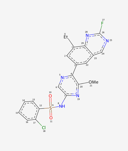 CCc1cc(-c2ncc(NS(=O)(=O)c3ccccc3Cl)nc2OC)cc2cnc(F)nc12